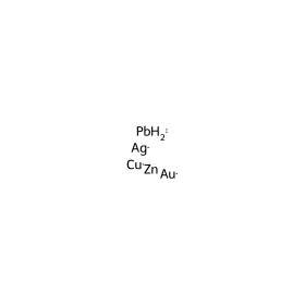 [Ag].[Au].[Cu].[PbH2].[Zn]